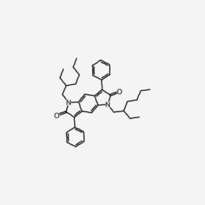 CCCCC(CC)CN1C(=O)C(c2ccccc2)=c2cc3c(cc21)=C(c1ccccc1)C(=O)N3CC(CC)CCCC